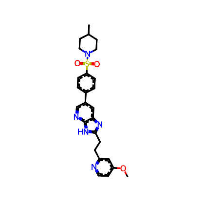 COc1ccnc(CCc2nc3cc(-c4ccc(S(=O)(=O)N5CCC(C)CC5)cc4)cnc3[nH]2)c1